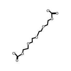 O=C(Cl)OCCOCCOCCOCCOC(=O)Cl